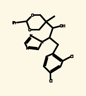 CC(C)C1OCC(C)(C(O)C(Cc2ccc(Cl)cc2Cl)n2cncn2)CO1